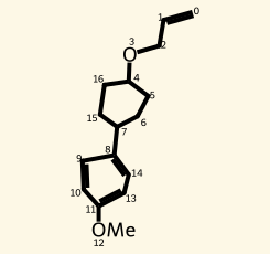 C=CCOC1CCC(c2ccc(OC)cc2)CC1